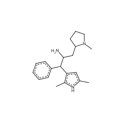 Cc1cc(C(c2ccccc2)C(N)CC2CCCN2C)c(C)[nH]1